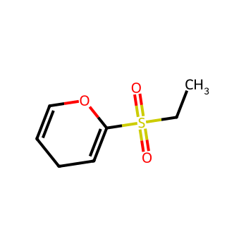 CCS(=O)(=O)C1=CCC=CO1